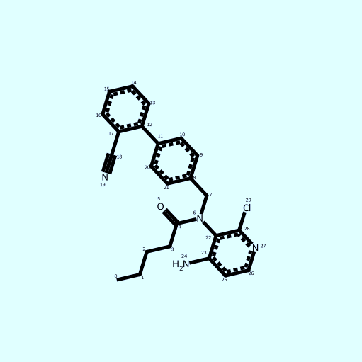 CCCCC(=O)N(Cc1ccc(-c2ccccc2C#N)cc1)c1c(N)ccnc1Cl